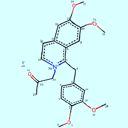 COc1ccc(Cc2c3cc(OC)c(OC)cc3cc[n+]2CC(C)=O)cc1OC.[I-]